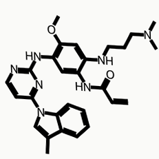 C=CC(=O)Nc1cc(Nc2nccc(-n3cc(C)c4ccccc43)n2)c(OC)cc1NCCCN(C)C